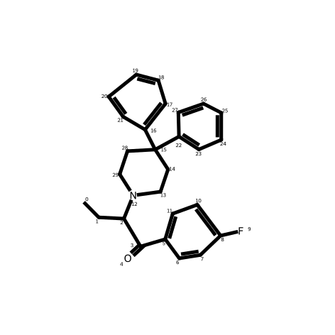 CCC(C(=O)c1ccc(F)cc1)N1CCC(c2ccccc2)(c2ccccc2)CC1